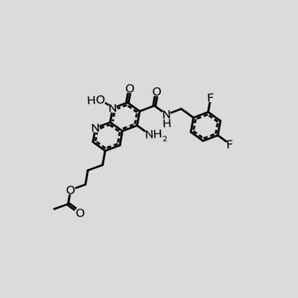 CC(=O)OCCCc1cnc2c(c1)c(N)c(C(=O)NCc1ccc(F)cc1F)c(=O)n2O